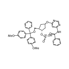 COc1ccc(C(OC[C@H]2C[C@@H](Oc3cc(NC(=O)c4ccccc4)ncn3)C[C@@H]2O[PH](=O)O)(c2ccccc2)c2ccc(OC)cc2)cc1